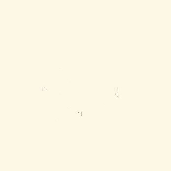 O=C(c1cc2ccccc2[nH]1)N1CCC2CCCNC2C1